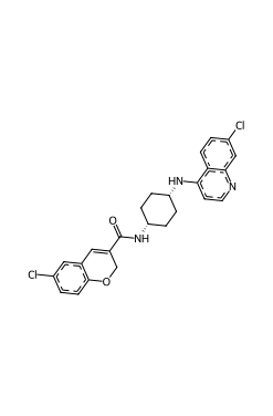 O=C(N[C@H]1CC[C@@H](Nc2ccnc3cc(Cl)ccc23)CC1)C1=Cc2cc(Cl)ccc2OC1